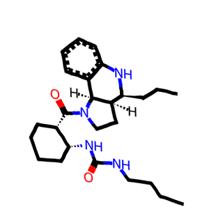 CCCCNC(=O)N[C@@H]1CCCC[C@@H]1C(=O)N1CC[C@@H]2[C@H](CCC)Nc3ccccc3[C@@H]21